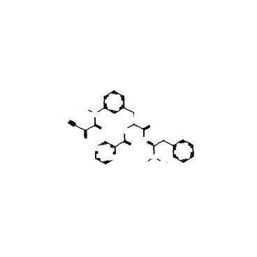 C=C(C#N)C(=O)N(C)c1cccc(C[C@H](NC(=O)c2cnccn2)C(=O)/N=C(\Cc2ccccc2)B(O)O)c1